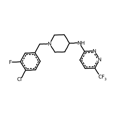 Fc1cc(CN2CCC(Nc3ccc(C(F)(F)F)nn3)CC2)ccc1Cl